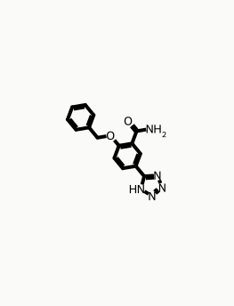 NC(=O)c1cc(-c2nnn[nH]2)ccc1OCc1ccccc1